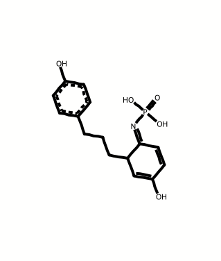 O=P(O)(O)N=C1C=CC(O)=CC1CCCc1ccc(O)cc1